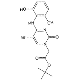 CC(C)(C)OC(=O)Cn1cc(Br)c(Nc2c(O)cccc2O)nc1=O